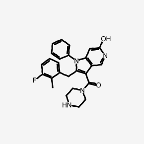 Cc1c(F)cccc1Cc1c(C(=O)N2CCNCC2)c2cnc(O)cc2n1-c1ccccc1